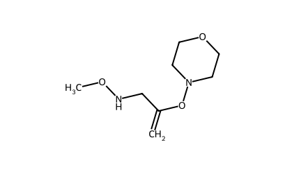 C=C(CNOC)ON1CCOCC1